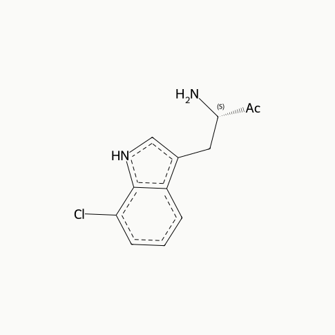 CC(=O)[C@@H](N)Cc1c[nH]c2c(Cl)cccc12